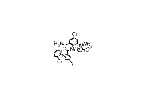 NCc1cc(Cl)cc(N(N)C=O)c1NC(=O)c1cc(I)cn1-c1ncccc1Cl